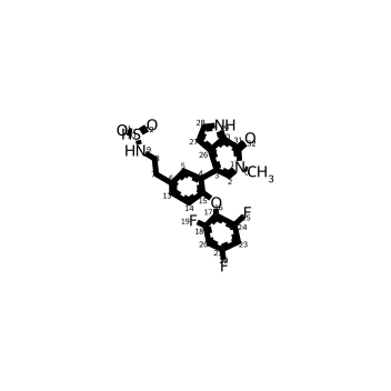 Cn1cc(-c2cc(CCN[SH](=O)=O)ccc2Oc2c(F)cc(F)cc2F)c2cc[nH]c2c1=O